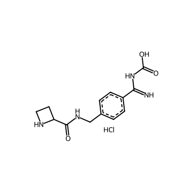 Cl.N=C(NC(=O)O)c1ccc(CNC(=O)C2CCN2)cc1